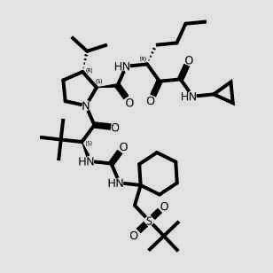 CCCC[C@@H](NC(=O)[C@@H]1[C@@H](C(C)C)CCN1C(=O)[C@@H](NC(=O)NC1(CS(=O)(=O)C(C)(C)C)CCCCC1)C(C)(C)C)C(=O)C(=O)NC1CC1